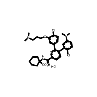 CN(C)CCCOc1cc(-c2nc(C(=O)NC3(C(=O)O)CCCCC3)ccc2-c2cc(N(C)C)ccc2Cl)ccc1Cl.Cl